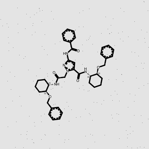 O=C(Cn1nc(NC(=O)c2ccccc2)cc1C(=O)N[C@H]1CCCC[C@@H]1OCc1ccccc1)N[C@H]1CCCC[C@@H]1OCc1ccccc1